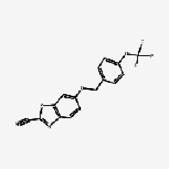 N#Cc1nc2ccc(OCc3ccc(OC(F)(F)F)cc3)cc2s1